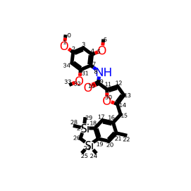 COc1cc(OC)c(NC(=O)c2ccc(Cc3cc4c(cc3C)[Si](C)(C)C[Si]4(C)C)o2)c(OC)c1